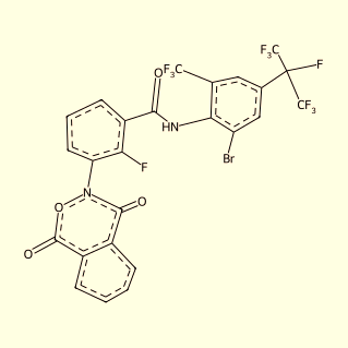 O=C(Nc1c(Br)cc(C(F)(C(F)(F)F)C(F)(F)F)cc1C(F)(F)F)c1cccc(-n2oc(=O)c3ccccc3c2=O)c1F